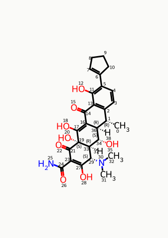 C[C@H]1c2ccc(C3=CCCC3)c(O)c2C(=O)C2=C(O)[C@]3(O)C(=O)C(C(N)=O)=C(O)[C@@H](N(C)C)[C@@H]3[C@@H](O)[C@@H]21